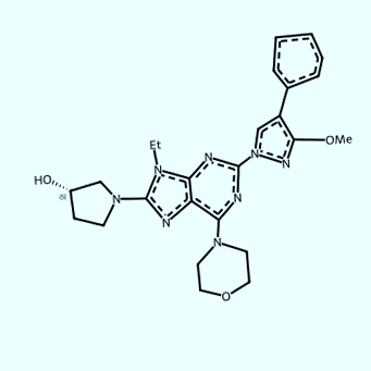 CCn1c(N2CC[C@H](O)C2)nc2c(N3CCOCC3)nc(-n3cc(-c4ccccc4)c(OC)n3)nc21